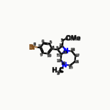 COCC1C(c2ccc(Br)cc2)C2CN(C)CCCCN12